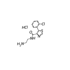 Cl.NCCNC(=O)c1ncsc1-c1ccccc1Cl